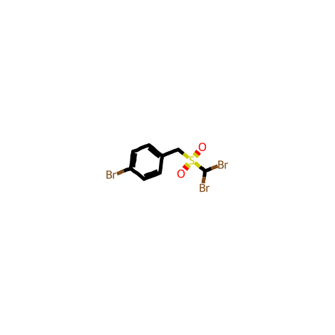 O=S(=O)(Cc1ccc(Br)cc1)C(Br)Br